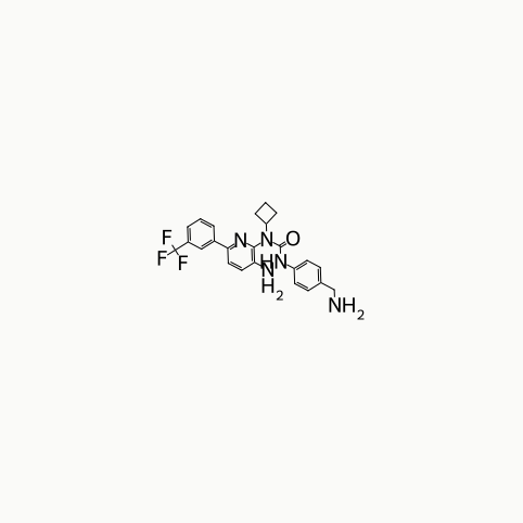 NCc1ccc(NC(=O)N(c2nc(-c3cccc(C(F)(F)F)c3)ccc2N)C2CCC2)cc1